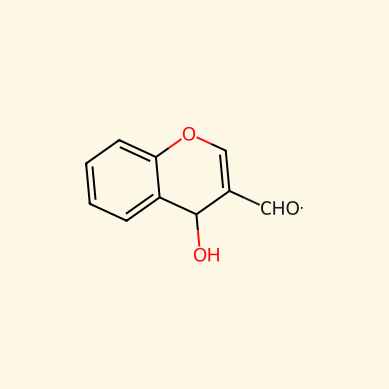 O=[C]C1=COc2ccccc2C1O